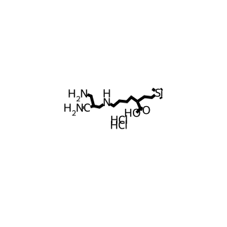 C[Si](C)(C)CCC(CCCCNCC(CN)CN)C(=O)O.Cl.Cl